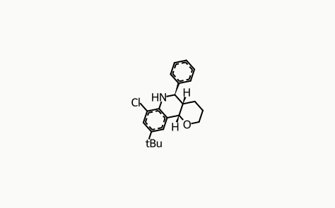 CC(C)(C)c1cc(Cl)c2c(c1)[C@H]1OCCC[C@H]1[C@H](c1ccccc1)N2